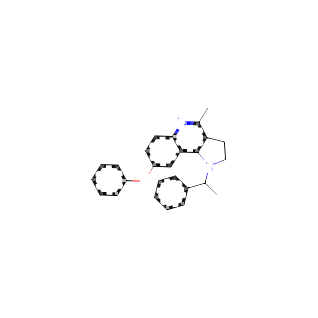 Cc1nc2ccc(Oc3ccccc3)cc2c2c1CCN2C(C)c1ccccc1